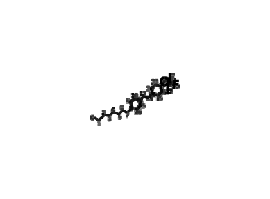 CCCCCCCCc1ccc(C=Cc2ccc(OC(F)(F)F)cc2)cc1